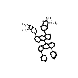 Cc1nc2ccc(-c3cccc4c(-c5c6cccc(-c7ccccc7)c6cc6c(-c7ccccc7)cccc56)c5cccc(-c6ccc7nc(C)n(C)c7c6)c5cc34)cc2n1C